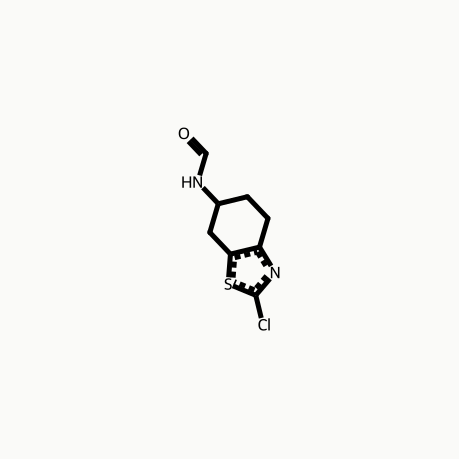 O=CNC1CCc2nc(Cl)sc2C1